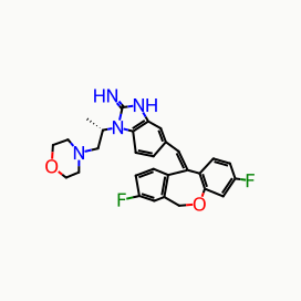 C[C@@H](CN1CCOCC1)n1c(=N)[nH]c2cc(/C=C3\c4ccc(F)cc4COc4cc(F)ccc43)ccc21